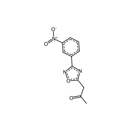 CC(=O)Cc1nc(-c2cccc([N+](=O)[O-])c2)no1